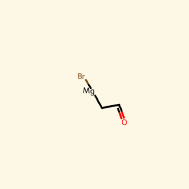 O=C[CH2][Mg][Br]